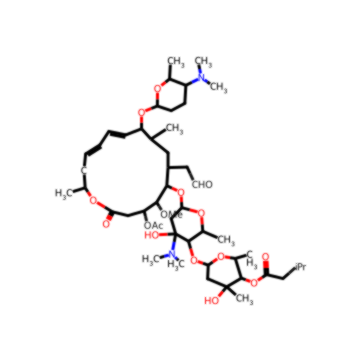 COC1C(OC(C)=O)CC(=O)OC(C)C/C=C/C=C/C(OC2CCC(N(C)C)C(C)O2)C(C)CC(CC=O)C1OC1CC(O)(N(C)C)C(OC2CC(C)(O)C(OC(=O)CC(C)C)C(C)O2)C(C)O1